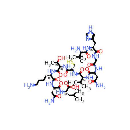 CC(C)C[C@H](NC(=O)[C@H](CC(N)=O)NC(=O)[C@H](CCCCN)NC(=O)[C@@H](NC(=O)[C@H](CS)NC(=O)[C@@H](NC(=O)[C@H](CC(N)=O)NC(=O)CNC(=O)[C@H](Cc1c[nH]cn1)NC(=O)[C@@H](N)C(C)C)C(C)C)[C@@H](C)O)C(=O)O